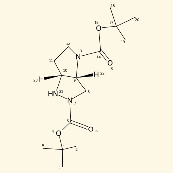 CC(C)(C)OC(=O)N1C[C@@H]2[C@@H](CCN2C(=O)OC(C)(C)C)N1